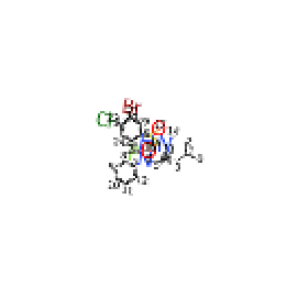 CC(C)C[C@H](CNc1ccccc1)N(C)S(=O)(=O)c1cc(Br)c(Cl)cc1F